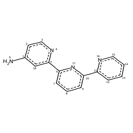 Nc1ccnc(-c2cccc(-c3ccccn3)n2)c1